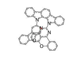 c1ccc2c(c1)Oc1cccc3nc(-n4c5ccccc5c5ccc6c7ccccc7n(-c7ccc8oc9ccccc9c8c7)c6c54)nc-2c13